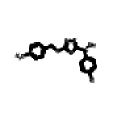 Cc1ccc(CSc2nnc([C@H](O)c3ccc(Cl)cc3)o2)cc1